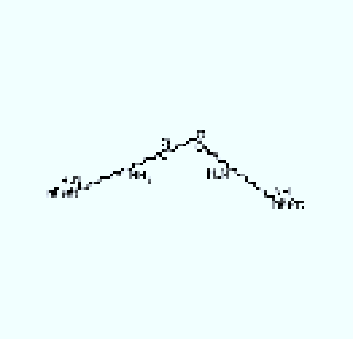 CCCCCC(N)CCCCCCCCC(N)CCCCCOC(=O)CCCCC(=O)OCCCCCC(N)CCCCCCCCC(N)CCCCC